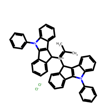 C[C](C)=[Zr+2]([CH]1c2ccccc2-c2c1c1ccccc1n2-c1ccccc1)[CH]1c2ccccc2-c2c1c1ccccc1n2-c1ccccc1.[Cl-].[Cl-]